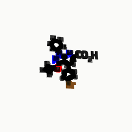 O=C(O)c1cc(-c2ccc(Br)cc2)c2c(OC3CCC3)nn(C3CCCCC3)c2n1